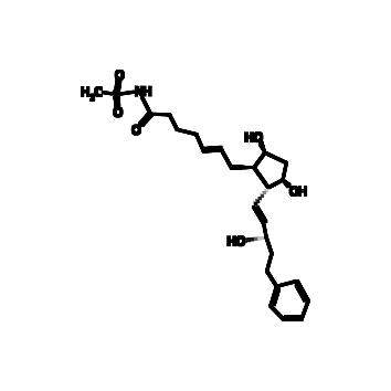 CS(=O)(=O)NC(=O)CCCC=CC[C@@H]1[C@@H](C=C[C@@H](O)CCc2ccccc2)[C@H](O)C[C@@H]1O